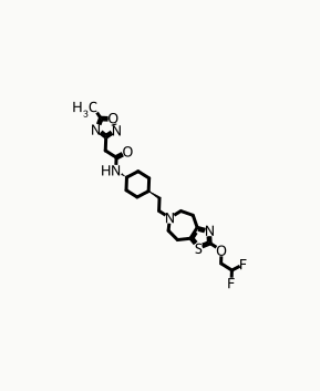 Cc1nc(CC(=O)N[C@H]2CC[C@H](CCN3CCc4nc(OCC(F)F)sc4CC3)CC2)no1